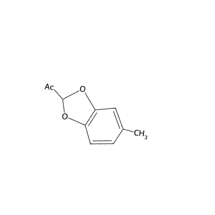 CC(=O)C1Oc2ccc(C)cc2O1